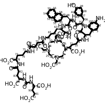 Nc1ccc(CC(NC(=O)CCC(C(=O)O)N2CCN(CC(=O)O)CCN(CC(=O)O)CCN(CC(=O)O)CC2)C(=O)N[C@H](Cc2ccc(O)cc2)C(=O)N[C@H](Cc2ccc3ccccc3c2)C(=O)N[C@H](CCCCNC(=O)CCC(=O)NCCCC(NC(=O)CC[C@H](NC(=O)N[C@@H](CCC(=O)O)C(=O)O)C(=O)O)C(=O)O)C(O)O)cc1